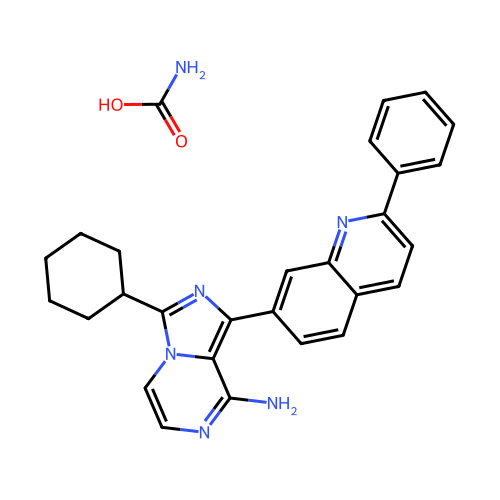 NC(=O)O.Nc1nccn2c(C3CCCCC3)nc(-c3ccc4ccc(-c5ccccc5)nc4c3)c12